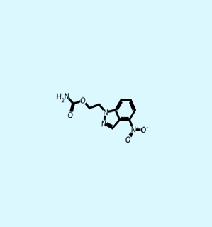 NC(=O)OCCn1ncc2c([N+](=O)[O-])cccc21